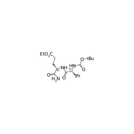 CCOC(=O)CC[C@@H](NC(=O)[C@@H](NC(=O)OC(C)(C)C)C(C)C)C(N)=O